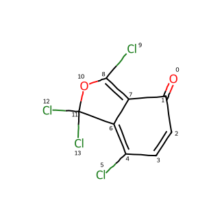 O=C1C=CC(Cl)=C2C1=C(Cl)OC2(Cl)Cl